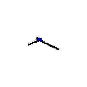 CCCCCCCCCCCCCCCCCCCN1C=CN(C(C)C)C1CCCCCCCCCCC